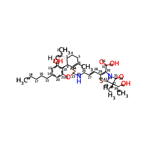 C=C(C)[C@@H]1CCC(C)=C[C@H]1c1c(O)cc(CCCCC)cc1OC(=S)NC/C=C/C1=C(C(=O)O)N2C(=O)[C@](C)([C@@H](C)O)[C@H]2S1